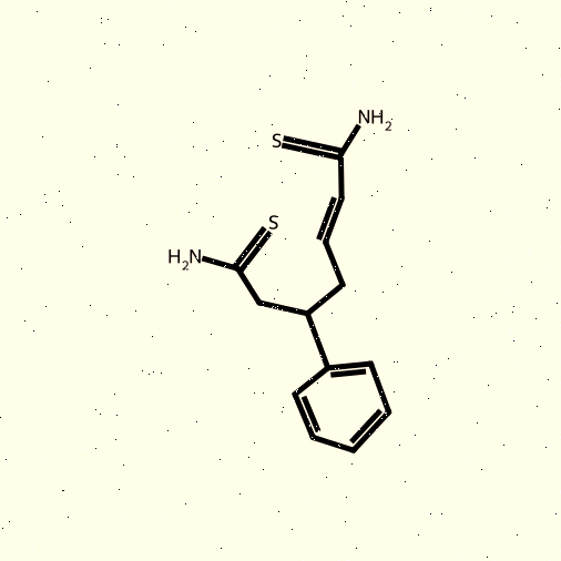 NC(=S)C=CCC(CC(N)=S)c1ccccc1